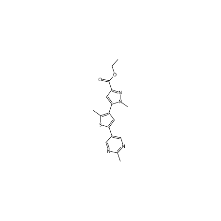 CCOC(=O)c1cc(-c2cc(-c3cnc(C)nc3)sc2C)n(C)n1